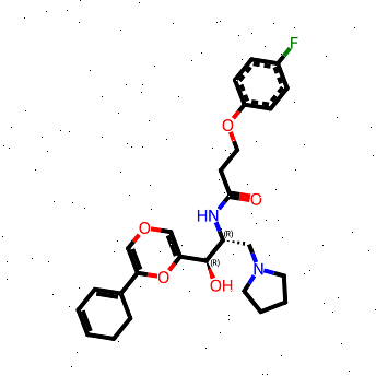 O=C(CCOc1ccc(F)cc1)N[C@H](CN1CCCC1)[C@@H](O)C1=COC=C(C2=CC=CCC2)O1